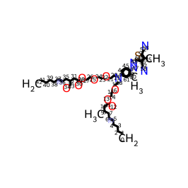 C=CCCC/C=C/CC(C)CC(=O)OCCOCCN(CCOCCOCCOC(=O)CC(C=O)C/C=C/CCCC=C)c1ccc(/N=N/c2sc(C#N)c(C)c2C#N)c(C)c1